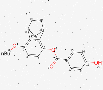 CCCCOc1ccc(OC(=O)c2ccc(O)cc2)c2c1C1CCC2C1